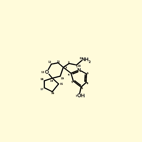 NCCC1(c2cc(O)ccn2)CCOC2(CCCC2)C1